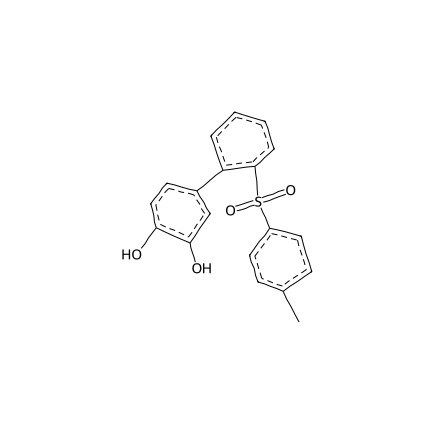 Cc1ccc(S(=O)(=O)c2ccccc2-c2ccc(O)c(O)c2)cc1